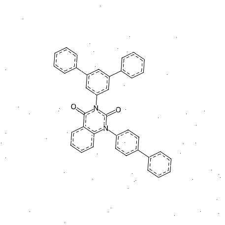 O=c1c2ccccc2n(-c2ccc(-c3ccccc3)cc2)c(=O)n1-c1cc(-c2ccccc2)cc(-c2ccccc2)c1